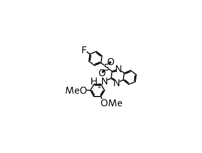 COc1cccc(OC)c1.Nc1nc2ccccc2nc1S(=O)(=O)c1ccc(F)cc1